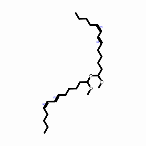 CCCC/C=C\C=C\CCCCC(OC)OC(CCCC/C=C/C=C\CCCC)OC